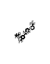 CC(C)(C)C(=O)Nc1cc(-c2cn3nc(N4CCCC(C(F)(F)F)C4)ccc3n2)ccc1C(F)(F)F